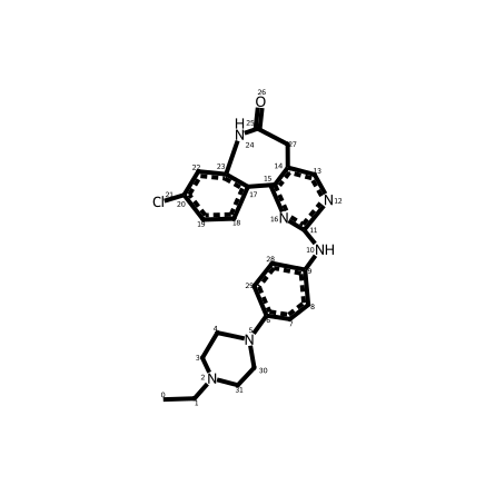 CCN1CCN(c2ccc(Nc3ncc4c(n3)-c3ccc(Cl)cc3NC(=O)C4)cc2)CC1